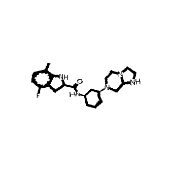 Cc1ccc(F)c2c1NC(C(=O)N[C@@H]1CCC[C@H](N3CCN4CCNC4C3)C1)C2